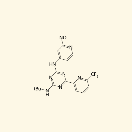 CC(C)(C)Nc1nc(Nc2ccnc(N=O)c2)nc(-c2cccc(C(F)(F)F)n2)n1